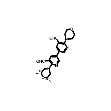 C[C@@H]1CN(c2ncc(-c3cnc(N4CCOCC4)c(C=O)c3)cc2C=O)C[C@H](C)O1